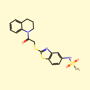 CS(=O)(=O)Nc1ccc2sc(SCC(=O)N3CCCc4ccccc43)nc2c1